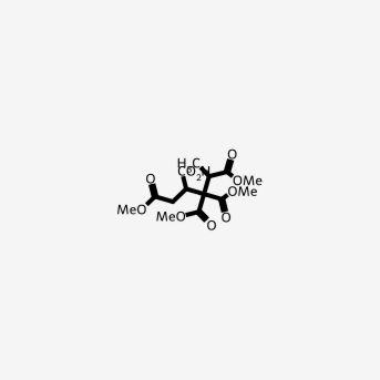 COC(=O)CC(C(=O)O)C(C(=O)OC)(C(=O)OC)C(C)C(=O)OC